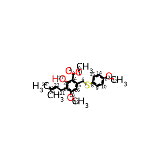 COC(=O)c1c(CSc2ccc(OC)cc2)cc(OC)c(CC=C(C)C)c1O